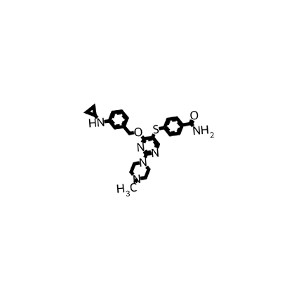 CN1CCN(c2ncc(Sc3ccc(C(N)=O)cc3)c(OCc3cccc(NC4CC4)c3)n2)CC1